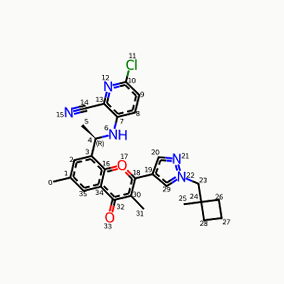 Cc1cc([C@@H](C)Nc2ccc(Cl)nc2C#N)c2oc(-c3cnn(CC4(C)CCC4)c3)c(C)c(=O)c2c1